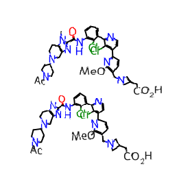 COc1nc(-c2ccnc(-c3cccc(NC(=O)c4nc5c(n4C)CCN(C4CCN(C(C)=O)CC4)C5)c3Cl)c2Cl)ccc1CN1CC(CC(=O)O)C1.COc1nc(-c2ccnc(-c3cccc(NC(=O)c4nc5c(n4C)CCN(C4CCN(C(C)=O)CC4)C5)c3Cl)c2Cl)ccc1CN1CC(CC(=O)O)C1